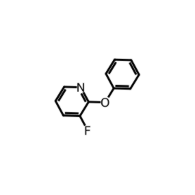 Fc1cccnc1Oc1ccccc1